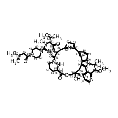 CCn1c(-c2cccnc2[C@H](C)OC)c2c3cc(ccc31)-c1csc(n1)C[C@H](NC(=O)[C@H](C(C)C)N(C)C(=O)N1CCN(C(=O)CN(C)C)CC1)C(=O)N1CCC[C@H](N1)C(=O)OCC(C)(C)C2